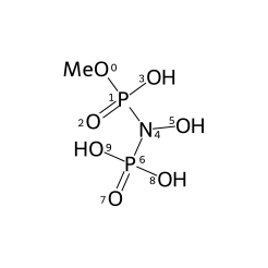 COP(=O)(O)N(O)P(=O)(O)O